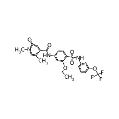 CCOc1cc(NC(=O)c2cc(=O)n(C)cc2C)ccc1S(=O)(=O)Nc1cccc(OC(F)(F)F)c1